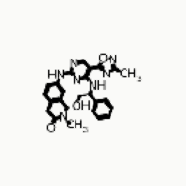 Cc1noc(-c2cnc(Nc3ccc4c(c3)CN(C)C(=O)C4)nc2N[C@H](CO)c2ccccc2)n1